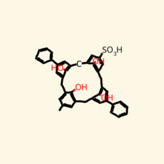 Cc1cc2c(O)c(c1)Cc1cc(-c3ccccc3)cc(c1O)Cc1cc(S(=O)(=O)O)cc(c1O)Cc1cc(-c3ccccc3)cc(c1O)C2